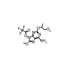 COCC(C)Oc1nc(N)c2nc(OC)n(OC(=O)C(F)(F)F)c2n1